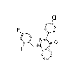 O=c1c(-c2ccc(Cl)cc2)nn(Cc2ccc(F)cc2F)c2ccccc12